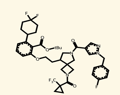 CC(C)(C)OC(=O)c1c(OCCC2CN(C(=O)c3cnn(Cc4ccc(F)cc4)c3)CC23CN(C(=O)C2(C(F)(F)F)CC2)C3)cccc1C1CCC(F)(F)CC1